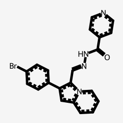 O=C(N/N=C/c1c(-c2ccc(Br)cc2)cc2ccccn12)c1ccncc1